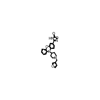 O=c1[nH]c(-c2ccc3c(c2)Oc2ccccc2N3C2CCN(Cc3ccoc3)CC2)no1